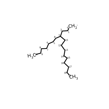 [CH2]CCC(CCCCCCC)CCCCCCCCC